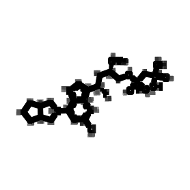 CO[C@H](COP(=O)(O)CP(=O)(O)O)C[C@H](F)c1cnc2c(N3CC4CCCC4C3)cc(Cl)nn12